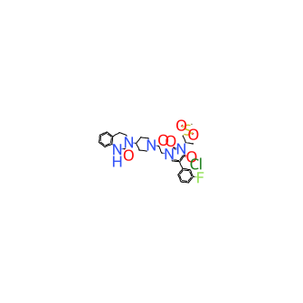 C[C@H](CS(C)(=O)=O)n1c(=O)c(-c2cccc(F)c2Cl)cn(CC(=O)N2CCC(N3CCc4ccccc4NC3=O)CC2)c1=O